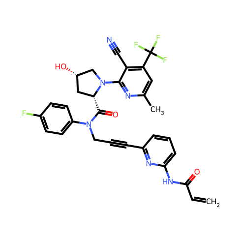 C=CC(=O)Nc1cccc(C#CCN(C(=O)[C@@H]2C[C@H](O)CN2c2nc(C)cc(C(F)(F)F)c2C#N)c2ccc(F)cc2)n1